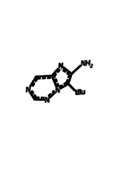 CC(C)(C)c1c(N)nc2cncnn12